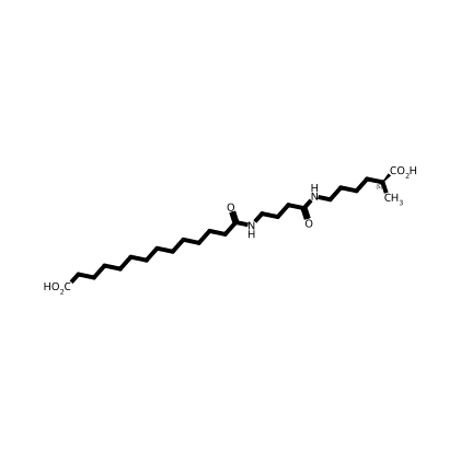 C[C@@H](CCCCNC(=O)CCCNC(=O)CCCCCCCCCCCCC(=O)O)C(=O)O